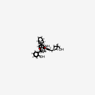 CC1(CO)CN(CC#Cc2cc(N3C4CCC3CN(c3cc(-c5ccccc5O)nnc3N)C4)ccn2)C1